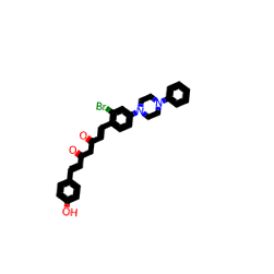 O=C(/C=C/c1ccc(O)cc1)CC(=O)/C=C/c1ccc(N2CCN(c3ccccc3)CC2)cc1Br